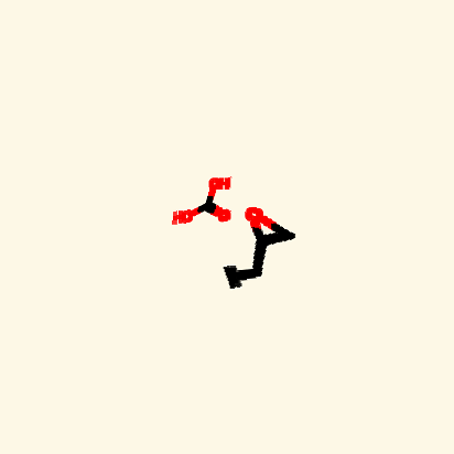 O=C(O)O.[K][CH2]C1CO1